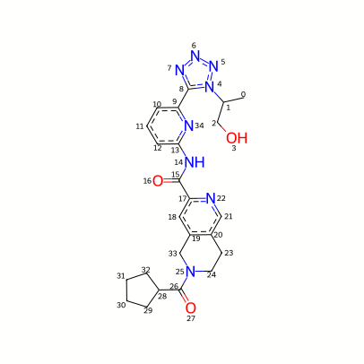 CC(CO)n1nnnc1-c1cccc(NC(=O)c2cc3c(cn2)CCN(C(=O)C2CCCC2)C3)n1